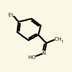 CCc1ccc(/C(C)=N\O)cc1